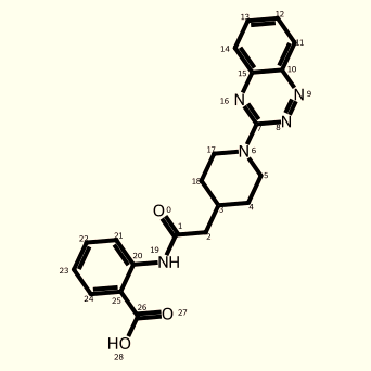 O=C(CC1CCN(c2nnc3ccccc3n2)CC1)Nc1ccccc1C(=O)O